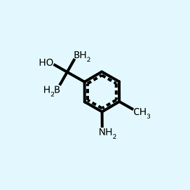 BC(B)(O)c1ccc(C)c(N)c1